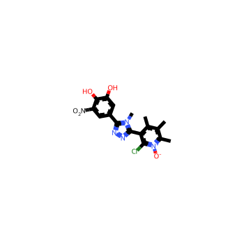 Cc1c(C)c(C)[n+]([O-])c(Cl)c1-c1nnc(-c2cc(O)c(O)c([N+](=O)[O-])c2)n1C